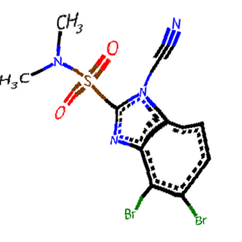 CN(C)S(=O)(=O)c1nc2c(Br)c(Br)ccc2n1C#N